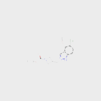 CCOc1c(Br)ccc2nn(CC3CN(C(=O)OC(C)(C)C)C3)cc12